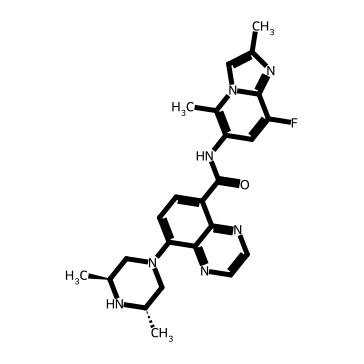 Cc1cn2c(C)c(NC(=O)c3ccc(N4C[C@H](C)N[C@@H](C)C4)c4nccnc34)cc(F)c2n1